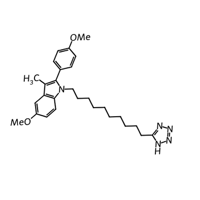 COc1ccc(-c2c(C)c3cc(OC)ccc3n2CCCCCCCCCCc2nnn[nH]2)cc1